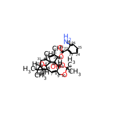 CC1=C[C@]23C(=O)[C@@H](C=C4COC(C)(C)O[C@H]4[C@]2(O)[C@H]1OC(=O)c1ccccc1N)[C@H]1[C@@H](C[C@H]3C)C1(C)C